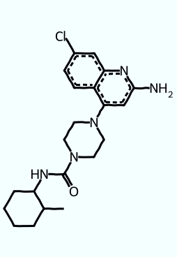 CC1CCCCC1NC(=O)N1CCN(c2cc(N)nc3cc(Cl)ccc23)CC1